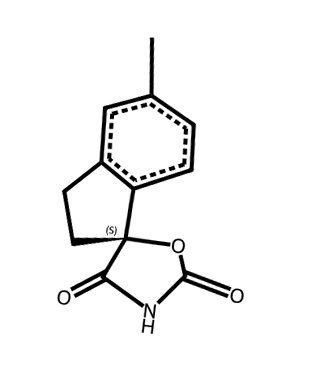 Cc1ccc2c(c1)CC[C@]21OC(=O)NC1=O